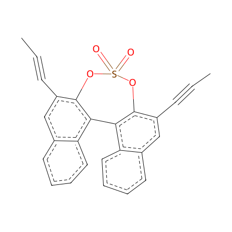 CC#Cc1cc2ccccc2c2c1OS(=O)(=O)Oc1c(C#CC)cc3ccccc3c1-2